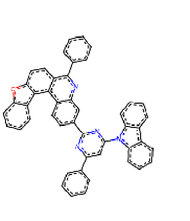 c1ccc(-c2cc(-n3c4ccccc4c4ccccc43)nc(-c3ccc4c(c3)nc(-c3ccccc3)c3ccc5oc6ccccc6c5c34)n2)cc1